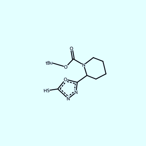 CC(C)(C)OC(=O)N1CCCCC1c1nnc(S)o1